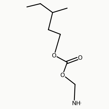 CCC(C)CCOC(=O)OC[NH]